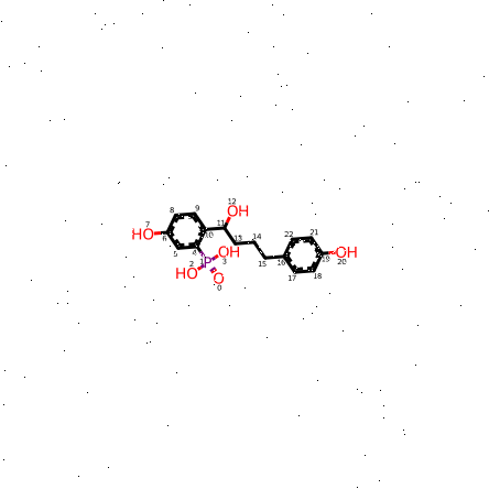 O=P(O)(O)c1cc(O)ccc1C(O)CCCc1ccc(O)cc1